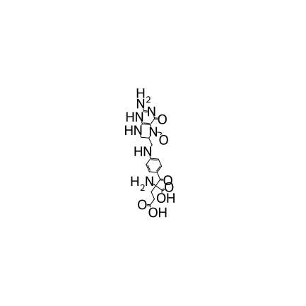 Nc1nc(=O)c2c([nH]1)NCC(CNc1ccc(C(=O)[C@@](N)(CCC(=O)O)C(=O)O)cc1)N2C=O